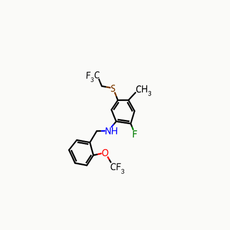 Cc1cc(F)c(NCc2ccccc2OC(F)(F)F)cc1SCC(F)(F)F